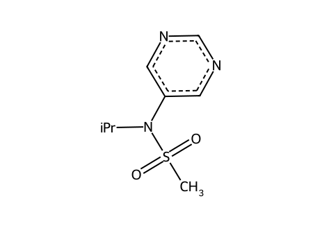 CC(C)N(c1cncnc1)S(C)(=O)=O